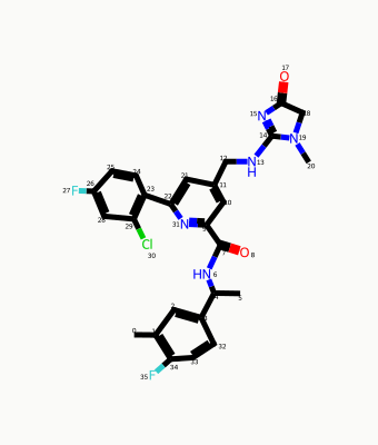 Cc1cc(C(C)NC(=O)c2cc(CNC3=NC(=O)CN3C)cc(-c3ccc(F)cc3Cl)n2)ccc1F